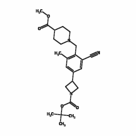 COC(=O)C1CCN(Cc2c(C)cc(C3CN(C(=O)OC(C)(C)C)C3)cc2C#N)CC1